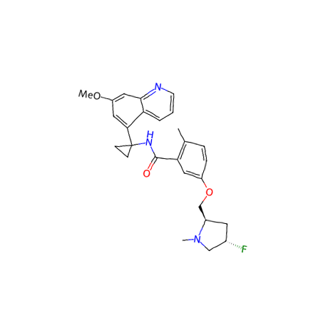 COc1cc(C2(NC(=O)c3cc(OC[C@H]4C[C@H](F)CN4C)ccc3C)CC2)c2cccnc2c1